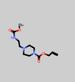 C=CCOC(=O)N1CCN(CCNC(=O)OC(C)(C)C)CC1